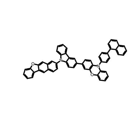 c1ccc2c(c1)Oc1cc(-c3ccc4c(c3)c3ccccc3n4-c3ccc4cc5c(cc4c3)oc3ccccc35)ccc1N2c1ccc(-c2cccc3ccccc23)cc1